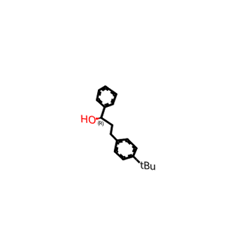 CC(C)(C)c1ccc(CC[C@@H](O)c2ccccc2)cc1